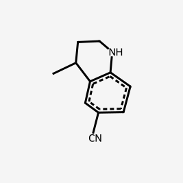 CC1CCNc2ccc(C#N)cc21